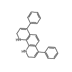 C1=C(c2ccccc2)c2ccc3c(c2NC1)NCC=C3c1ccccc1